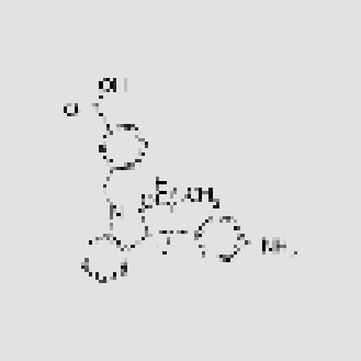 CC(C)[C@]1(c2ccc(N)cc2)C[C@]12C(=O)N(Cc1cccc(C(=O)O)c1)c1ccccc12